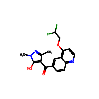 Cc1nn(C)c(O)c1C(=O)c1ccc2nccc(OCC(F)F)c2c1